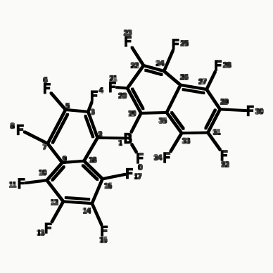 FB(c1c(F)c(F)c(F)c2c(F)c(F)c(F)c(F)c12)c1c(F)c(F)c(F)c2c(F)c(F)c(F)c(F)c12